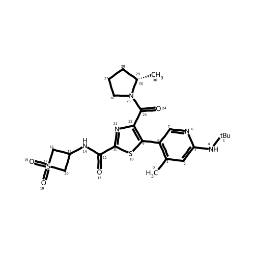 Cc1cc(NC(C)(C)C)ncc1-c1sc(C(=O)NC2CS(=O)(=O)C2)nc1C(=O)N1CCC[C@@H]1C